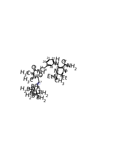 BC(B)(B)N(C/C=C/C(=O)N(C)[C@@H](C)C(=O)NCCc1cccc(Nc2nc(N(C)CC)c(CC)nc2C(N)=O)c1)C(B)(B)B